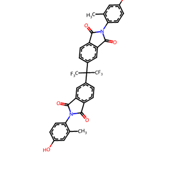 Cc1cc(O)ccc1N1C(=O)c2ccc(C(c3ccc4c(c3)C(=O)N(c3ccc(O)cc3C)C4=O)(C(F)(F)F)C(F)(F)F)cc2C1=O